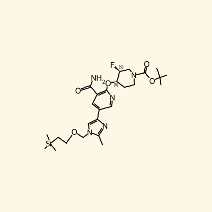 Cc1nc(-c2cnc(O[C@@H]3CCN(C(=O)OC(C)(C)C)C[C@@H]3F)c(C(N)=O)c2)cn1COCC[Si](C)(C)C